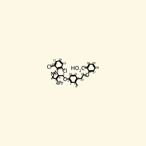 Cc1cc(OCc2c(C(C)C)cnn2-c2c(Cl)cccc2Cl)ccc1CCOc1ccccc1C(=O)O